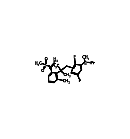 Cc1cccc(N(C)S(C)(=O)=O)c1C(C)(C)Cc1cc(F)cc([C@@H](C)C(C)C)c1F